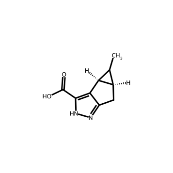 CC1[C@H]2Cc3n[nH]c(C(=O)O)c3[C@@H]12